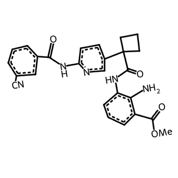 COC(=O)c1cccc(NC(=O)C2(c3ccc(NC(=O)c4cccc(C#N)c4)nc3)CCC2)c1N